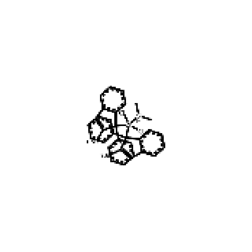 CCCCC1=Cc2ccccc2[C]1(c1ccccc1)[Zr]([Cl])([Cl])([SiH](C)C)[C]1(c2ccccc2)C(CCCC)=Cc2ccccc21